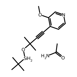 CC(N)=O.COc1cnccc1C#CC(C)(C)O[SiH2]C(C)(C)C